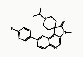 CC(C)N1CCC2(CC1)C(=O)N(C)c1cnc3ccc(-c4ccc(F)nc4)cc3c12